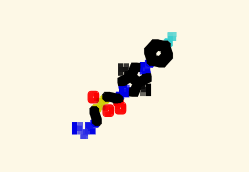 NCCS(=O)(=O)CC(=O)N1C[C@@H]2CN(c3ccc(F)cc3)C[C@@H]2C1